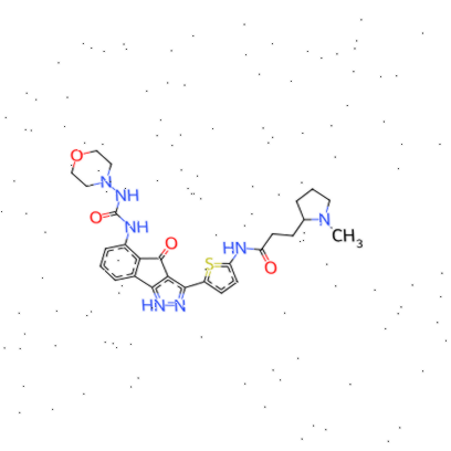 CN1CCCC1CCC(=O)Nc1ccc(-c2n[nH]c3c2C(=O)c2c(NC(=O)NN4CCOCC4)cccc2-3)s1